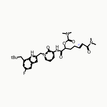 CN(C)C(=O)/C=C/CCC(OC(=O)N(C)C)C(=O)Nc1cccn(Cc2cc3cc(F)cc(CC(C)(C)C)c3[nH]2)c1=O